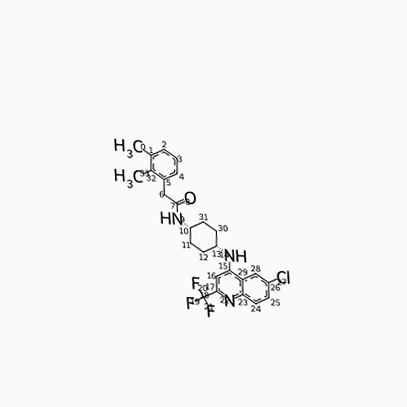 Cc1cccc(CC(=O)N[C@H]2CC[C@@H](Nc3cc(C(F)(F)F)nc4ccc(Cl)cc34)CC2)c1C